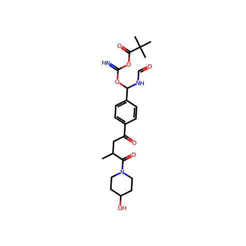 CC(CC(=O)c1ccc(C(NC=O)OC(=N)OC(=O)C(C)(C)C)cc1)C(=O)N1CCC(O)CC1